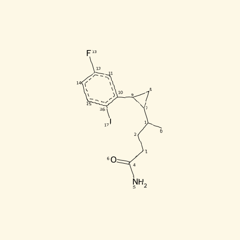 CC(CCC(N)=O)C1CC1c1cc(F)ccc1I